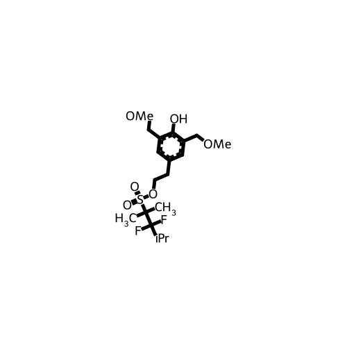 COCc1cc(CCOS(=O)(=O)C(C)(C)C(F)(F)C(C)C)cc(COC)c1O